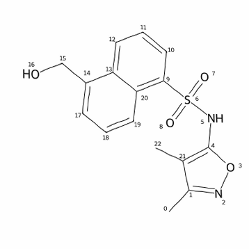 Cc1noc(NS(=O)(=O)c2cccc3c(CO)cccc23)c1C